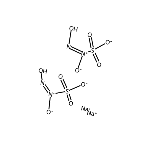 O=S(=O)([O-])[N+]([O-])=NO.O=S(=O)([O-])[N+]([O-])=NO.[Na+].[Na+]